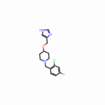 Fc1ccc(CN2CCC(OCc3c[nH]cn3)CC2)c(Cl)c1